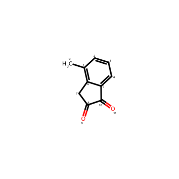 Cc1cccc2c1CC(=O)C2=O